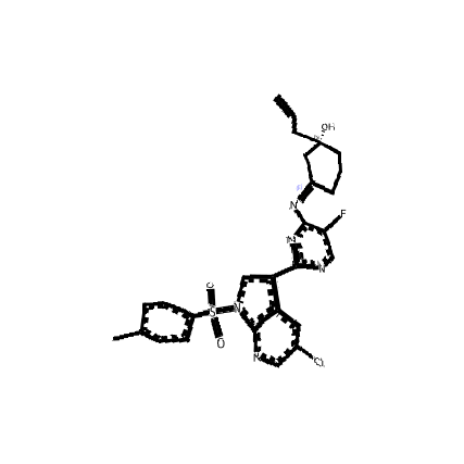 C=CC[C@@]1(O)CCC/C(=N\c2nc(-c3cn(S(=O)(=O)c4ccc(C)cc4)c4ncc(Cl)cc34)ncc2F)C1